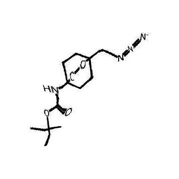 CC(C)(C)OC(=O)NC12CCC(CN=[N+]=[N-])(CC1)OC2